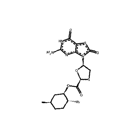 CC(C)[C@@H]1CC[C@@H](C)C[C@H]1OC(=O)[C@H]1O[C@@H](n2c(=O)sc3c(=O)[nH]c(N)nc32)CS1